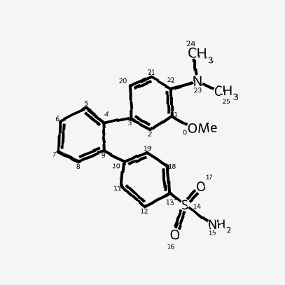 COc1cc(-c2ccccc2-c2ccc(S(N)(=O)=O)cc2)ccc1N(C)C